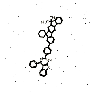 CC1(C)c2ccccc2C2C=C3C(=CC21)C1(CCCCC1)c1cc(-c2ccc(C4N=C(c5ccccc5)c5c(sc6ccccc56)N4)cc2)ccc13